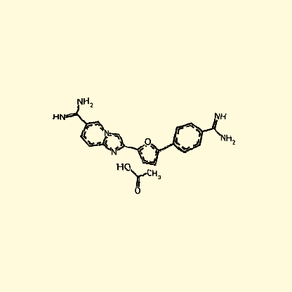 CC(=O)O.N=C(N)c1ccc(-c2ccc(-c3cn4cc(C(=N)N)ccc4n3)o2)cc1